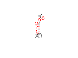 C=C(C)C(=O)OCC(=O)COCOC1C2(C)CCC(C2)C1(C)C